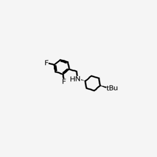 CC(C)(C)[C@H]1CC[C@H](NCc2ccc(F)cc2F)CC1